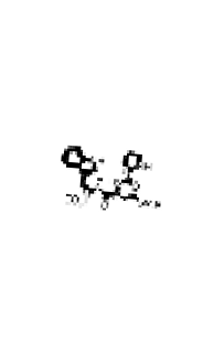 CSCC[C@H](NC(=O)[C@@H]1CCCN1)C(=O)N[C@@H](Cc1c[nH]c2ccccc12)C(=O)O